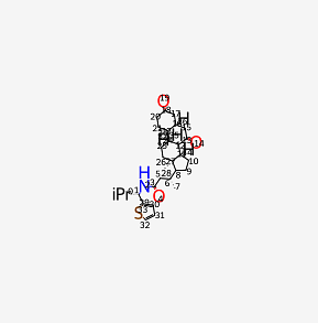 CC(C)[C@H](NC(=O)C[C@@H](C)C1CC[C@H]2[C@@H]3C(=O)C[C@@H]4CC(=O)CC[C@]4(C)[C@H]3CC[C@]12C)c1cccs1